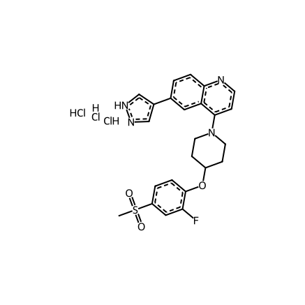 CS(=O)(=O)c1ccc(OC2CCN(c3ccnc4ccc(-c5cn[nH]c5)cc34)CC2)c(F)c1.Cl.Cl.Cl